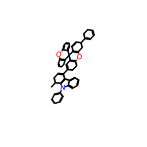 CC1CC=C(C2=CC3=C(CC2)OC2=C(C=CC(C4=CC=CCC4)C2)C32C3=C(C=CCC3)Oc3ccccc32)c2c1n(C1=CCCC=C1)c1ccccc21